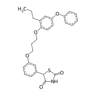 CCCc1cc(Oc2ccccc2)ccc1OCCCOc1cccc(C2SC(=O)NC2=O)c1